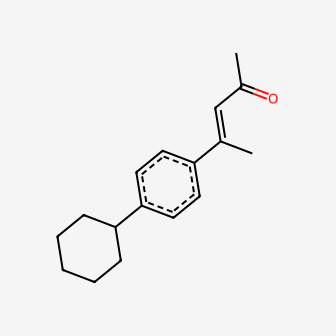 CC(=O)C=C(C)c1ccc(C2CCCCC2)cc1